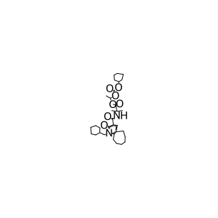 CC(OC(=O)OC1CCCCC1)OC(=O)C(C)(C)NC(=O)c1cc2c(n(CC3CCCCC3)c1=O)CCCCCC2